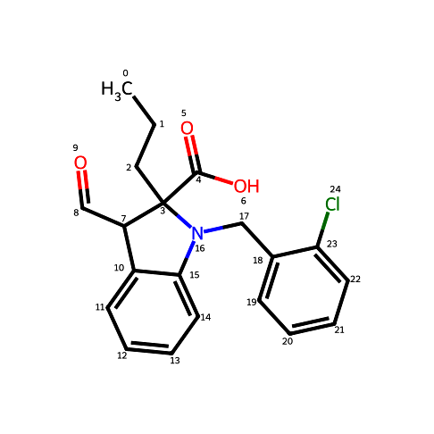 CCCC1(C(=O)O)C(C=O)c2ccccc2N1Cc1ccccc1Cl